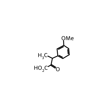 COc1cccc(C(C)C(=O)C(=O)O)c1